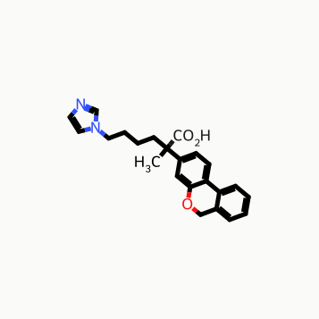 CC(CCCCn1ccnc1)(C(=O)O)c1ccc2c(c1)OCc1ccccc1-2